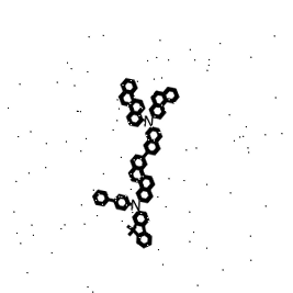 CC1(C)c2ccccc2-c2ccc(N(c3ccc(-c4ccccc4)cc3)c3ccc4ccc5c6cc(-c7ccc8ccc(N(c9ccc%10c(ccc%11ccccc%11%10)c9)c9cccc%10c9ccc9c%11ccccc%11ccc%109)cc8c7)ccc6ccc5c4c3)cc21